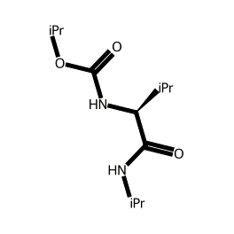 CC(C)NC(=O)[C@@H](NC(=O)OC(C)C)C(C)C